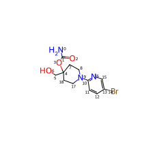 NC(=O)OC1(CO)CCN(c2ccc(Br)cn2)CC1